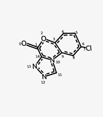 O=c1oc2ccc(Cl)cc2n2cnnc12